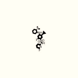 CN(C)[C@H]1CCCC[C@@H]1Nc1cc(F)c(S(=O)(=O)Nc2cccc(F)n2)cc1C1CC1